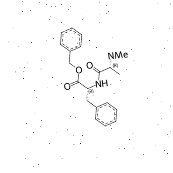 CN[C@H](C)C(=O)N[C@H](Cc1ccccc1)C(=O)OCc1ccccc1